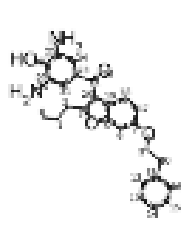 CCCc1oc2cc(OCCc3ccccc3)ccc2c1C(=O)c1cc(N)c(O)c(N)c1